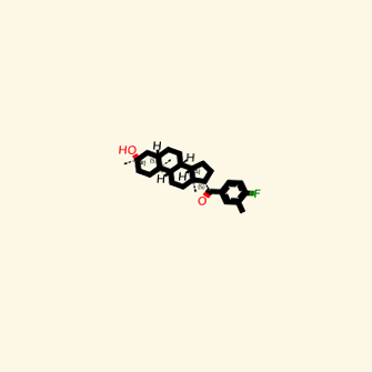 Cc1cc(C(=O)[C@H]2CC[C@H]3[C@@H]4CC[C@H]5C[C@](C)(O)CC[C@]5(C)[C@H]4CC[C@]23C)ccc1F